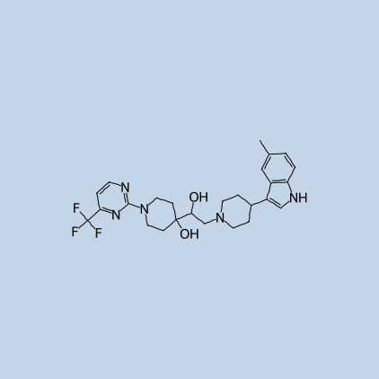 Cc1ccc2[nH]cc(C3CCN(CC(O)C4(O)CCN(c5nccc(C(F)(F)F)n5)CC4)CC3)c2c1